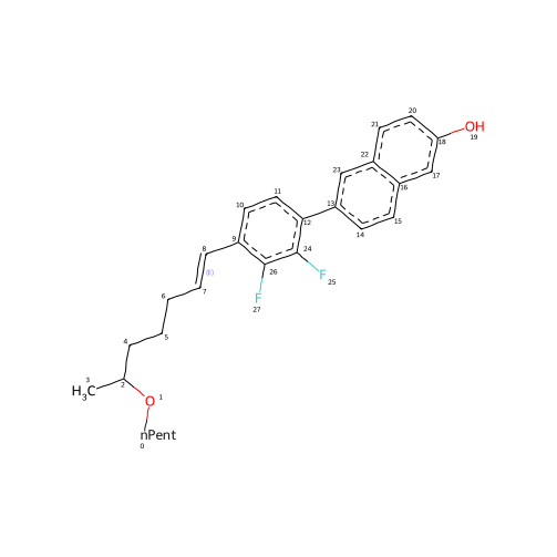 CCCCCOC(C)CCC/C=C/c1ccc(-c2ccc3cc(O)ccc3c2)c(F)c1F